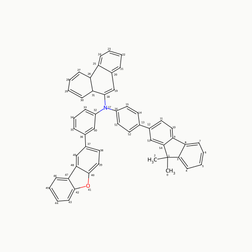 CC1(C)c2ccccc2-c2ccc(-c3ccc(N(C4=Cc5ccccc5C5C=CC=CC45)c4cccc(-c5ccc6oc7ccccc7c6c5)c4)cc3)cc21